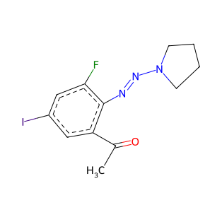 CC(=O)c1cc(I)cc(F)c1/N=N/N1CCCC1